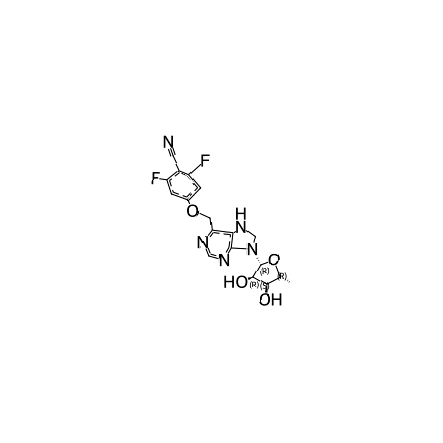 C[C@H]1O[C@@H](N2CNc3c(COc4cc(F)c(C#N)c(F)c4)ncnc32)[C@H](O)[C@@H]1O